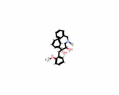 CCN(Cc1ccccc1)CC(O)[C@@](O)(Cc1ccccc1OC(F)(F)F)c1ccccc1